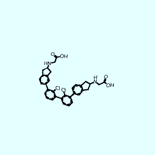 O=C(O)CNC1Cc2ccc(-c3cccc(-c4cccc(-c5ccc6c(c5)CC(NCC(=O)O)C6)c4Cl)c3Cl)cc2C1